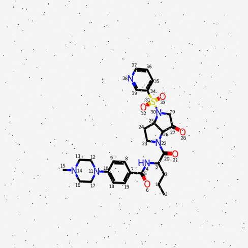 CCCC(NC(=O)c1ccc(N2CCN(C)CC2)cc1)C(=O)N1CCC2C1C(=O)CN2S(=O)(=O)c1cccnc1